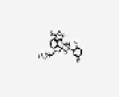 C[C@H]1SC(=S)N=C1N1N=C(c2cc(F)ccc2F)SC1(CCCN)c1ccccc1